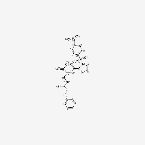 O=C(CCc1ccccc1)NC[C@H](NC(=O)[C@@H]1CCCN1S(=O)(=O)c1ccc([N+](=O)[O-])cc1)C(=O)O